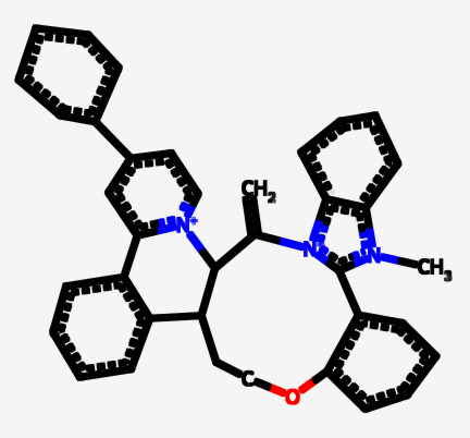 C=C1C2C(CCOc3ccccc3-c3n(C)c4ccccc4[n+]31)c1ccccc1-c1cc(-c3ccccc3)cc[n+]12